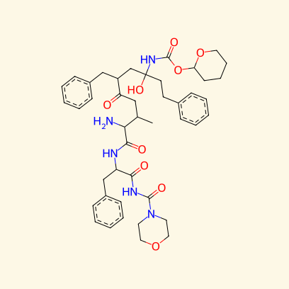 CC(CC(=O)C(Cc1ccccc1)CC(O)(CCc1ccccc1)NC(=O)OC1CCCCO1)C(N)C(=O)NC(Cc1ccccc1)C(=O)NC(=O)N1CCOCC1